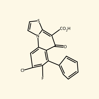 O=C(O)c1c(=O)c2c(-c3ccccc3)c(F)c(Cl)cc2n2ccsc12